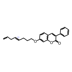 C=CC/C=C/CCCOc1ccc2cc(-c3ccccc3)c(=O)oc2c1